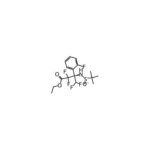 CCOC(=O)C(F)(F)[C@](N[S@+]([O-])C(C)(C)C)(c1ccccc1F)C(F)F